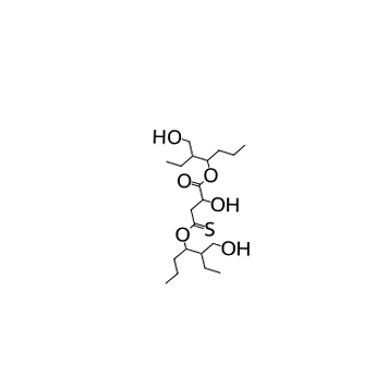 CCCC(OC(=O)C(O)CC(=S)OC(CCC)C(CC)CO)C(CC)CO